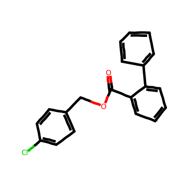 O=C(OCc1ccc(Cl)cc1)c1c[c]ccc1-c1ccccc1